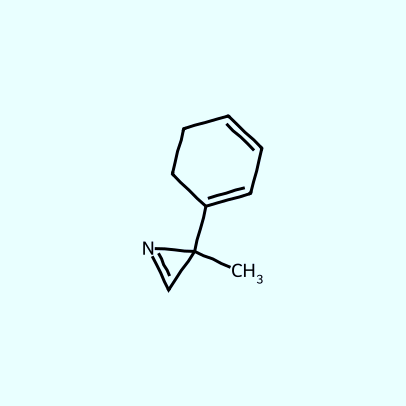 CC1(C2=CC=CCC2)C=N1